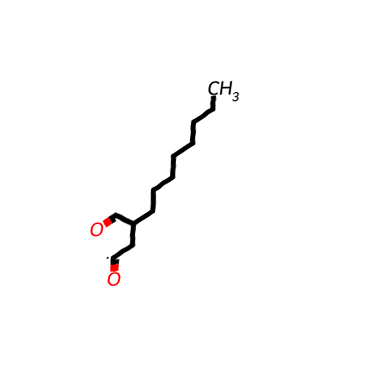 CCCCCCCCC(C=O)C[C]=O